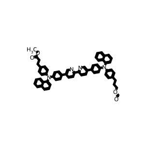 COC(=O)CCc1ccc(N(c2ccc(-c3ccc(-c4ccc(-c5ccc(N(c6ccc(CCCOC=O)cc6)c6cccc7ccccc67)cc5)cn4)nc3)cc2)c2cccc3ccccc23)cc1